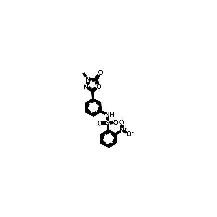 Cn1nc(-c2cccc(NS(=O)(=O)c3ccccc3[N+](=O)[O-])c2)oc1=O